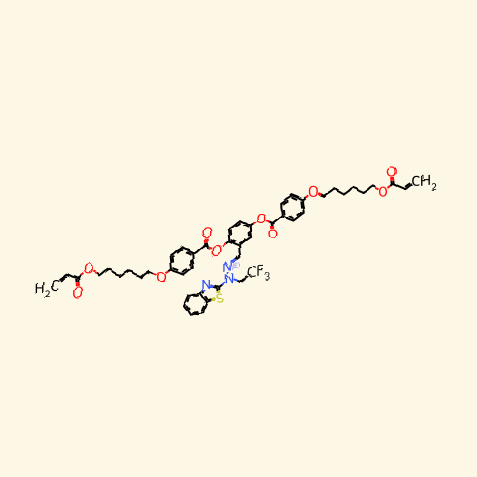 C=CC(=O)OCCCCCCOc1ccc(C(=O)Oc2ccc(OC(=O)c3ccc(OCCCCCCOC(=O)C=C)cc3)c(/C=N/N(CC(F)(F)F)c3nc4ccccc4s3)c2)cc1